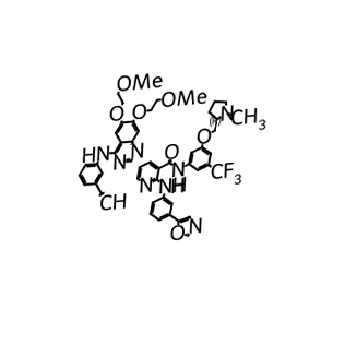 C#Cc1cccc(Nc2ncnc3cc(OCCOC)c(OCCOC)cc23)c1.CN1CCC[C@@H]1COc1cc(NC(=O)c2cccnc2Nc2cccc(-c3cnco3)c2)cc(C(F)(F)F)c1